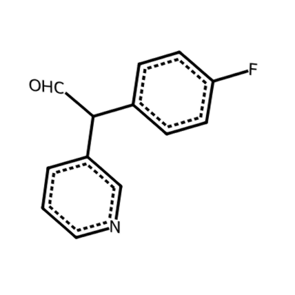 O=CC(c1ccc(F)cc1)c1cccnc1